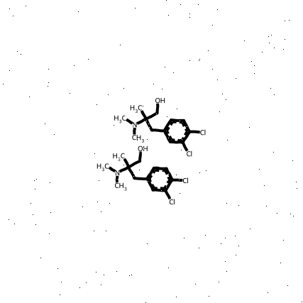 CN(C)C(C)(CO)Cc1ccc(Cl)c(Cl)c1.CN(C)C(C)(CO)Cc1ccc(Cl)c(Cl)c1